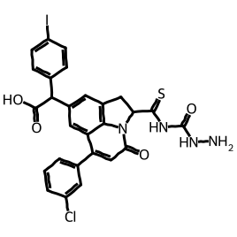 NNC(=O)NC(=S)C1Cc2cc(C(C(=O)O)c3ccc(I)cc3)cc3c(-c4cccc(Cl)c4)cc(=O)n1c23